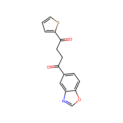 O=C(CCC(=O)c1cccs1)c1ccc2ocnc2c1